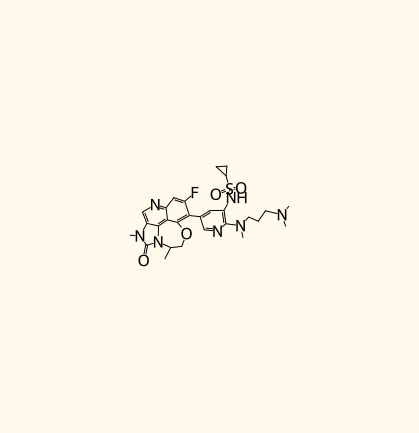 CC1COc2c(-c3cnc(N(C)CCCN(C)C)c(NS(=O)(=O)C4CC4)c3)c(F)cc3ncc4c(c23)n1c(=O)n4C